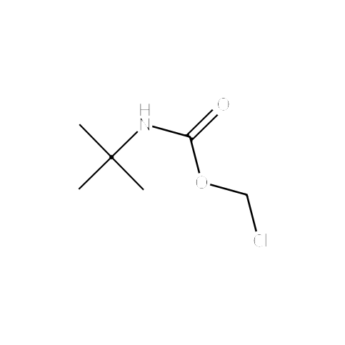 CC(C)(C)NC(=O)OCCl